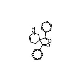 O=C(c1ccccc1)C1(C(=O)c2ccccc2)CC=CNC1